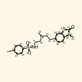 Cc1ccc(S(=O)(=O)NCCN(C)CCc2ccc3c(c2)sc(=O)n3C)cc1